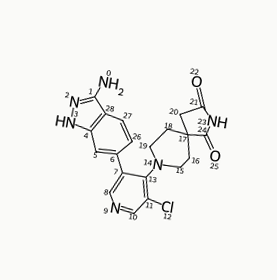 Nc1n[nH]c2cc(-c3cncc(Cl)c3N3CCC4(CC3)CC(=O)NC4=O)ccc12